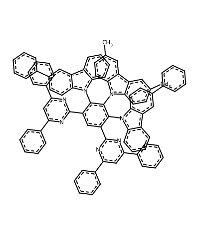 Cc1ccc2c(c1)c1cc(C)ccc1n2-c1c(-n2c3ccccc3c3cc(-c4ccccc4)ccc32)c(-c2nc(-c3ccccc3)cc(-c3ccccc3)n2)cc(-c2nc(-c3ccccc3)cc(-c3ccccc3)n2)c1-n1c2ccccc2c2cc(-c3ccccc3)ccc21